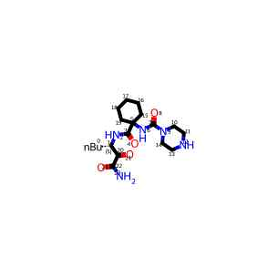 CCCC[C@H](NC(=O)C1(NC(=O)N2CCNCC2)CCCCC1)C(=O)C(N)=O